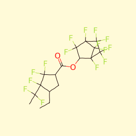 CCC1CC(C(=O)OC2C(F)(F)C3(F)C(F)(F)C(F)(F)C2(F)C3(F)F)C(F)(F)C1(F)C(C)(F)F